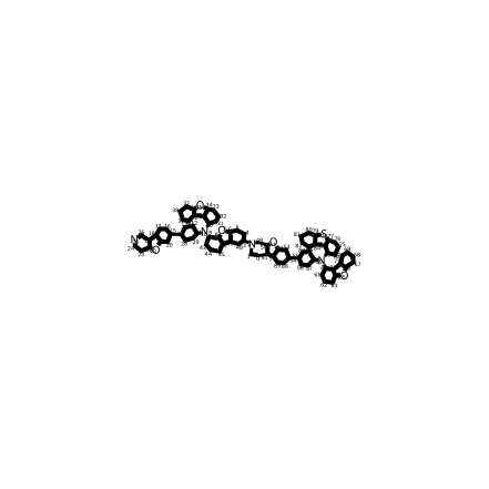 C1=CN(c2ccc3oc4c(N(c5ccc(-c6ccc7c(c6)oc6ccncc67)cc5)c5cccc6oc7ccccc7c56)cccc4c3c2)Cc2oc3cc(-c4ccc(N(c5cccc6oc7ccccc7c56)c5cccc6sc7ccccc7c56)cc4)ccc3c21